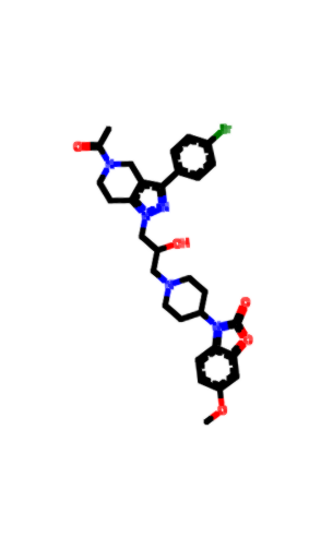 COc1ccc2c(c1)oc(=O)n2C1CCN(CC(O)Cn2nc(-c3ccc(Br)cc3)c3c2CCN(C(C)=O)C3)CC1